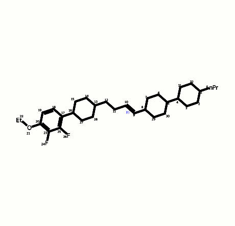 CCCC1CCC(C2CCC(/C=C/CCC3CCC(c4ccc(OCC)c(F)c4F)CC3)CC2)CC1